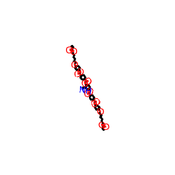 C=CC(=O)OCCCCCCOc1ccc(OC(=O)[C@H]2CC[C@H](C(=O)Oc3ccc(OC(=O)[C@H]4CC[C@H](C(=O)Oc5ccc(OCCCCCCOC(=O)C=C)cc5)CC4)c(C=N)c3)CC2)cc1